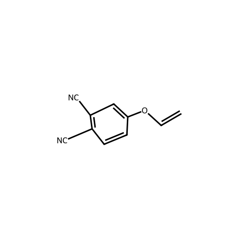 C=COc1ccc(C#N)c(C#N)c1